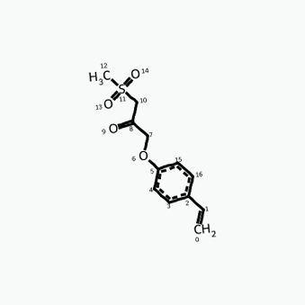 C=Cc1ccc(OCC(=O)CS(C)(=O)=O)cc1